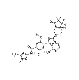 CCOc1cc(C(=O)Nc2cc(C(F)(F)F)n(C)n2)c(Cl)cc1-c1nc([C@@H]2CC[C@@H]3N(C2)C(=O)C2(CC2)C3(F)F)n2ccnc(N)c12